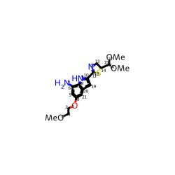 COCCOc1cc(N)c2[nH]c(C3=NCC(C(OC)OC)S3)cc2c1